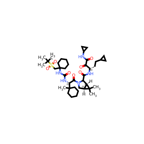 CC1([C@H](NC(=O)NC2(CS(=O)(=O)C(C)(C)C)CCCCC2)C(=O)N2C[C@H]3[C@@H](C2C(=O)N[C@@H](CCC2CC2)C(=O)C(=O)NC2CC2)C3(C)C)CCCCC1